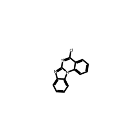 Clc1nc2nc3ccccc3n2c2ccccc12